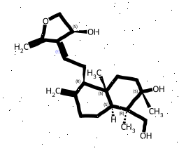 C=C1OC[C@@H](O)/C1=C\C[C@@H]1C(=C)CC[C@H]2[C@@]1(C)CC[C@](C)(O)[C@@]2(C)CO